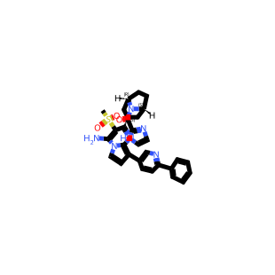 CS(=O)(=O)c1c([C@@H]2C[C@H]3CC[C@@H](C2)N3C(=O)c2ncc[nH]2)nc2c(-c3ccc(-c4ccccc4)nc3)ccn2c1N